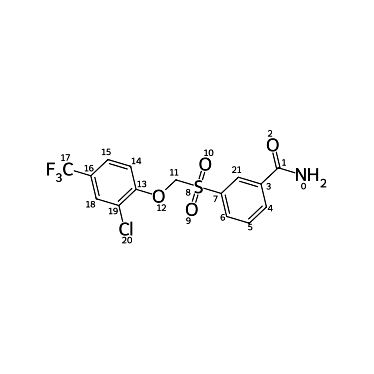 NC(=O)c1cccc(S(=O)(=O)COc2ccc(C(F)(F)F)cc2Cl)c1